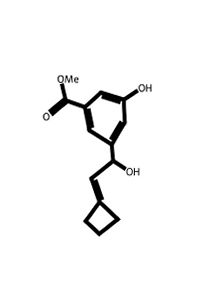 COC(=O)c1cc(O)cc(C(O)C=C2CCC2)c1